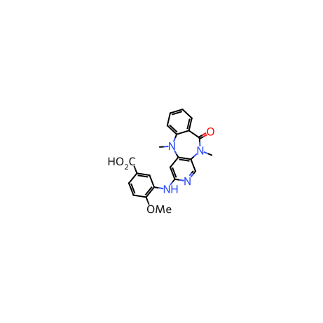 COc1ccc(C(=O)O)cc1Nc1cc2c(cn1)N(C)C(=O)c1ccccc1N2C